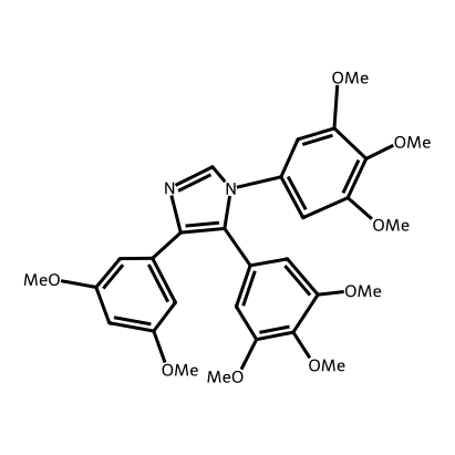 COc1cc(OC)cc(-c2ncn(-c3cc(OC)c(OC)c(OC)c3)c2-c2cc(OC)c(OC)c(OC)c2)c1